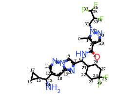 Cc1c(C(=O)N[C@H](c2cn3ncc(C(N)C4CC4)cc3n2)C2CCC(F)(F)CC2)cnn1CC(F)C(F)F